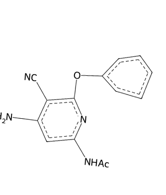 CC(=O)Nc1cc(N)c(C#N)c(Oc2ccccc2)n1